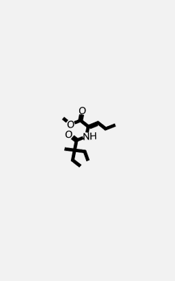 CCC=C(NC(=O)C(C)(CC)CC)C(=O)OC